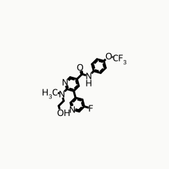 CN(CCO)c1ncc(C(=O)Nc2ccc(OC(F)(F)F)cc2)cc1-c1cncc(F)c1